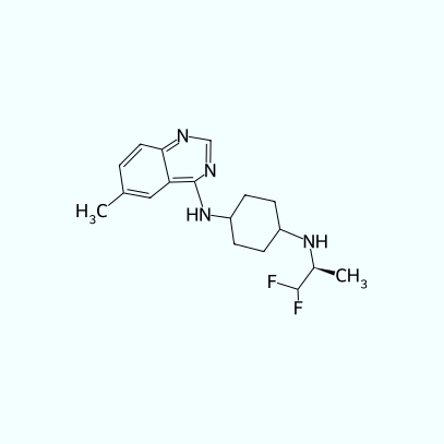 Cc1ccc2ncnc(NC3CCC(N[C@@H](C)C(F)F)CC3)c2c1